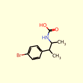 CC(NC(=O)O)C(C)c1ccc(Br)cc1